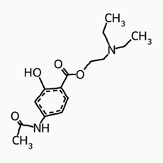 CCN(CC)CCOC(=O)c1ccc(NC(C)=O)cc1O